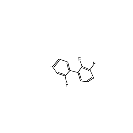 Fc1c[c]ccc1-c1cccc(F)c1F